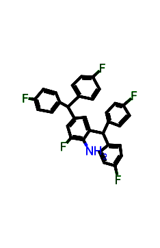 Nc1c(F)cc(C(c2ccc(F)cc2)c2ccc(F)cc2)cc1C(c1ccc(F)cc1)c1ccc(F)cc1